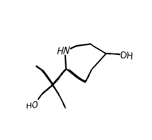 CC(C)(O)C1CC(O)CN1